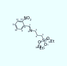 CCO[Si](CCCN=Cc1ccccc1[N+](=O)[O-])(OCC)OCC